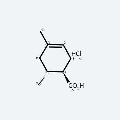 CC1=CC[C@@H](C(=O)O)[C@H](C)C1.Cl